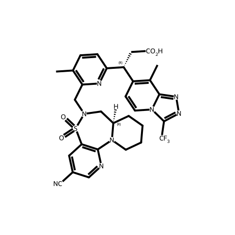 Cc1ccc([C@H](CC(=O)O)c2ccn3c(C(F)(F)F)nnc3c2C)nc1CN1C[C@H]2CCCCN2c2ncc(C#N)cc2S1(=O)=O